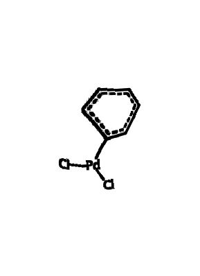 [Cl][Pd]([Cl])[c]1ccccc1